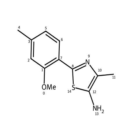 COc1cc(C)ccc1-c1nc(C)c(N)s1